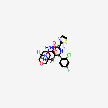 NS(=O)(=O)NC1C[C@H]2COC[C@@H](C1)N2CC1=C(C(=O)O)[C@H](c2ccc(F)cc2Cl)N=C(c2nccs2)N1